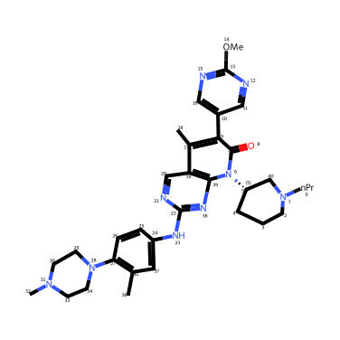 CCCN1CCC[C@H](n2c(=O)c(-c3cnc(OC)nc3)c(C)c3cnc(Nc4ccc(N5CCN(C)CC5)c(C)c4)nc32)C1